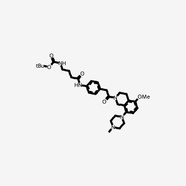 COc1ccc(N2CCN(C)CC2)c2c1CCN(C(=O)Cc1ccc(NC(=O)CCCNC(=O)OC(C)(C)C)cc1)C2